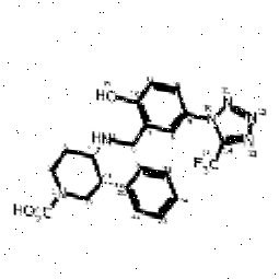 O=C(O)N1CC[C@H](NCc2cc(-n3nnnc3C(F)(F)F)ccc2O)[C@H](c2ccccc2)C1